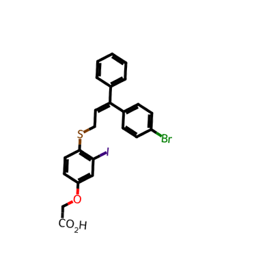 O=C(O)COc1ccc(SCC=C(c2ccccc2)c2ccc(Br)cc2)c(I)c1